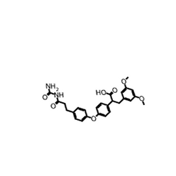 COc1cc(CC(C(=O)O)c2ccc(Oc3ccc(CCC(=O)NC(N)=O)cc3)cc2)cc(OC)c1